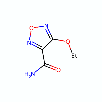 CCOc1nonc1C(N)=O